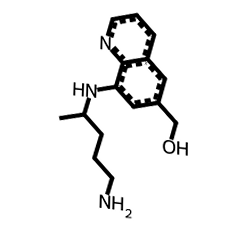 CC(CCCN)Nc1cc(CO)cc2cccnc12